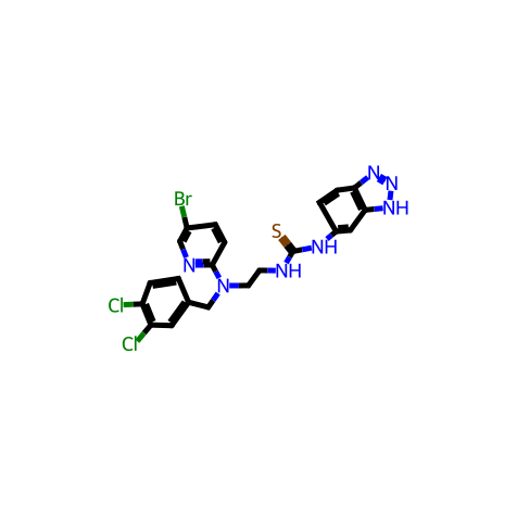 S=C(NCCN(Cc1ccc(Cl)c(Cl)c1)c1ccc(Br)cn1)Nc1ccc2nn[nH]c2c1